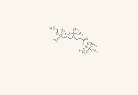 CCO[Si](C)(C)CCCN(CCC(=O)O[Si](C)(C)C(C)(C)C)[Si](C)(C)C